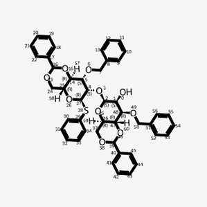 O[C@@H]1[C@H](O[C@H]2[C@@H](OCc3ccccc3)[C@@H]3OC(c4ccccc4)OC[C@H]3O[C@@H]2Sc2ccccc2)O[C@@H]2COC(c3ccccc3)O[C@H]2[C@@H]1OCc1ccccc1